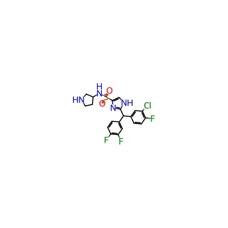 O=S(=O)(NC1CCNC1)c1c[nH]c(C(c2ccc(F)c(F)c2)c2ccc(F)c(Cl)c2)n1